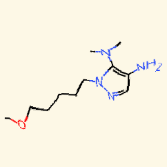 COCCCCCn1ncc(N)c1N(C)C